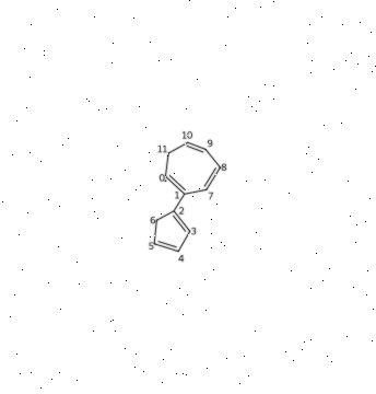 [C]1=C(C2=CC=CC2)C=CC=CC1